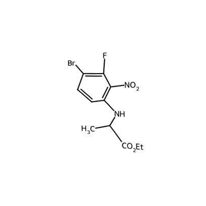 CCOC(=O)C(C)Nc1ccc(Br)c(F)c1[N+](=O)[O-]